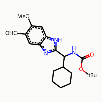 COc1cc2[nH]c(C(NC(=O)OC(C)(C)C)C3CCCCC3)nc2cc1C=O